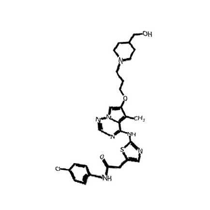 Cc1c(OCCCN2CCC(CO)CC2)cn2ncnc(Nc3ncc(CC(=O)Nc4ccc(Cl)cc4)s3)c12